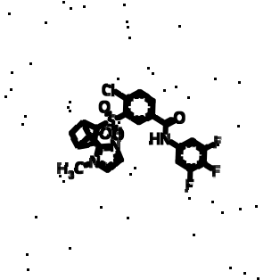 Cn1ccnc1[C@@]1(O)C2CC1C(S(=O)(=O)c1cc(C(=O)Nc3cc(F)c(F)c(F)c3)ccc1Cl)C2